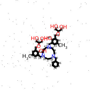 Cc1cc(COC(CO)CO)c(O)c(CN2CCCN(Cc3ccccc3)CCCN(Cc3cc(C)cc(COC(CO)CO)c3O)CCC2)c1